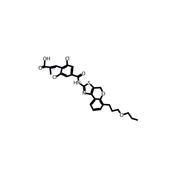 CCCOCCCc1cccc2c1OCc1sc(NC(=O)c3cc(Cl)c(/C=C(\C)C(=O)O)c(Cl)c3)nc1-2